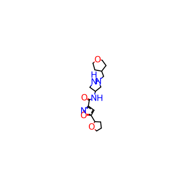 O=C(NC1CNN(CC2CCOCC2)C1)c1cc(C2CCCO2)on1